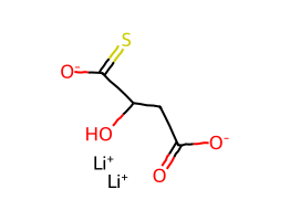 O=C([O-])CC(O)C([O-])=S.[Li+].[Li+]